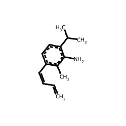 C=C/C=C\c1ccc(C(C)C)c(N)c1C